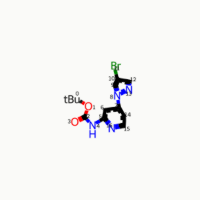 CC(C)(C)OC(=O)Nc1cc(-n2cc(Br)cn2)ccn1